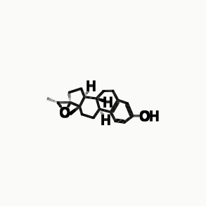 C[C@H]1O[C@@]12CC[C@H]1[C@@H]3CCc4cc(O)ccc4[C@H]3CC[C@@]12C